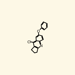 Clc1c2c(nc3ccc(Oc4ccccc4)cc13)CCC2